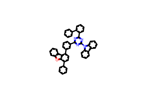 c1ccc(-c2ccccc2-c2nc(-c3cccc(-c4ccc(-c5ccccc5)c5oc6ccccc6c45)c3)nc(-n3c4ccccc4c4ccccc43)n2)cc1